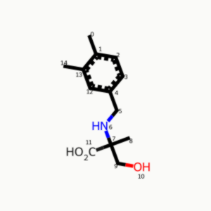 Cc1ccc(CNC(C)(CO)C(=O)O)cc1C